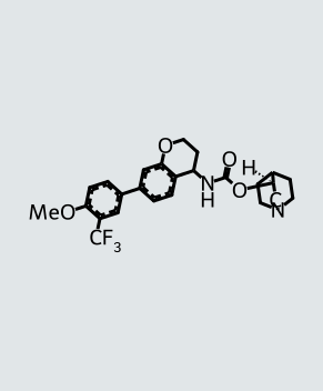 COc1ccc(-c2ccc3c(c2)OCCC3NC(=O)O[C@@H]2CN3CCC2CC3)cc1C(F)(F)F